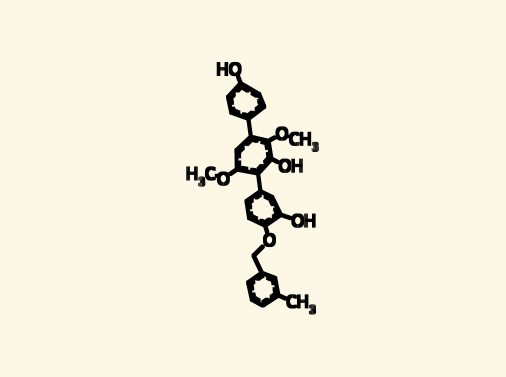 COc1cc(-c2ccc(O)cc2)c(OC)c(O)c1-c1ccc(OCc2cccc(C)c2)c(O)c1